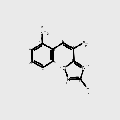 CCc1noc(C(=Cc2ccccc2C)C(C)=O)n1